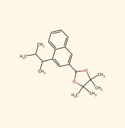 CC(C)C(C)c1cc(B2OC(C)(C)C(C)(C)O2)cc2ccccc12